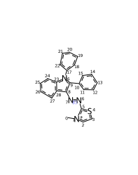 C[n+]1ccsc1/N=N/c1c(-c2ccccc2)n(-c2ccccc2)c2ccccc12